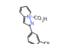 O=C(O)[N+]12C=CC=CC1=CC(c1cccc(C(F)(F)F)c1)=N2